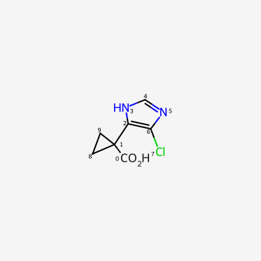 O=C(O)C1(c2[nH]cnc2Cl)CC1